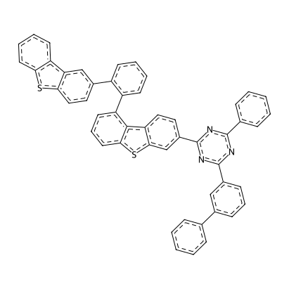 c1ccc(-c2cccc(-c3nc(-c4ccccc4)nc(-c4ccc5c(c4)sc4cccc(-c6ccccc6-c6ccc7sc8ccccc8c7c6)c45)n3)c2)cc1